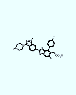 Cc1cc2nc(-c3ccc4c(N5CCN(C)CC5)nn(C)c4c3)sc2c(-c2ccc(Cl)cc2)c1CC(=O)O